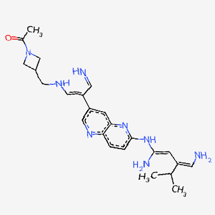 CC(=O)N1CC(CN/C=C(\C=N)c2cnc3ccc(N/C(N)=C/C(=C\N)C(C)C)nc3c2)C1